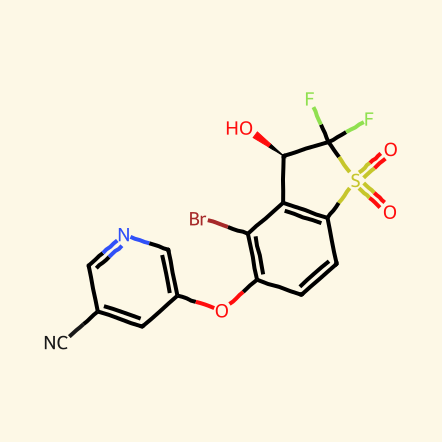 N#Cc1cncc(Oc2ccc3c(c2Br)[C@@H](O)C(F)(F)S3(=O)=O)c1